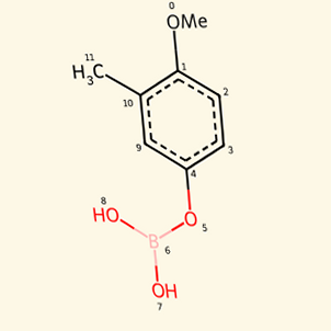 COc1ccc(OB(O)O)cc1C